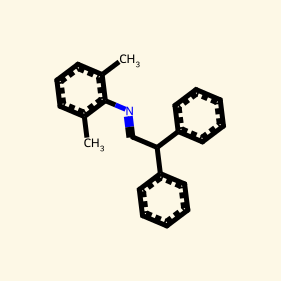 Cc1cccc(C)c1N=CC(c1ccccc1)c1ccccc1